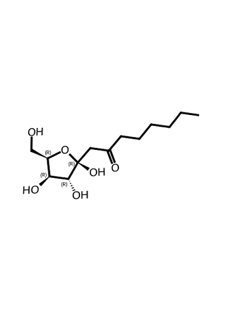 CCCCCCC(=O)C[C@@]1(O)O[C@H](CO)[C@H](O)[C@H]1O